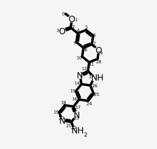 COC(=O)c1ccc2c(c1)CC(C1=NC3C=C(c4ccnc(N)n4)C=CC3N1)CO2